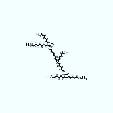 CCCCCCCCN(CCCCCC)C(=O)OCCCCCCN(CCCCO)CCCCCCOC(=O)N(CCCCCC)CCCCCCCC